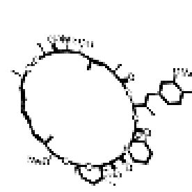 CO[C@H]1C[C@@H]2CC[C@@H](C)[C@@](O)(O2)C(=O)C(=O)N2CCCC[C@H]2C(=O)O[C@H]([C@H](C)C[C@@H]2CC[C@H](C)[C@H](OC)C2)CC(=O)[C@H](C)/C=C(\C)[C@@H](O)[C@@H](OC)C(=O)[C@H](C)CC[C@H](C)/C=C/C=C/C=C/1C